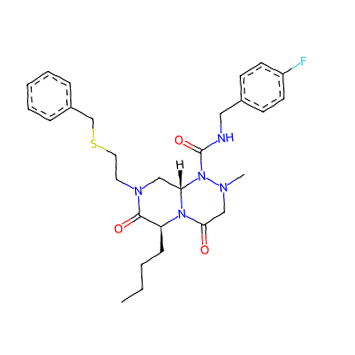 CCCC[C@H]1C(=O)N(CCSCc2ccccc2)C[C@H]2N1C(=O)CN(C)N2C(=O)NCc1ccc(F)cc1